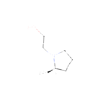 CCC[C@@H]1CCCN1CCO